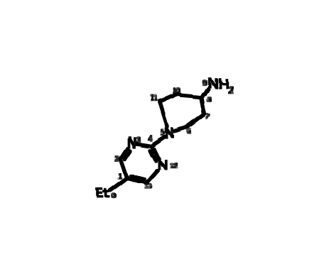 CCc1cnc(N2CCC(N)CC2)nc1